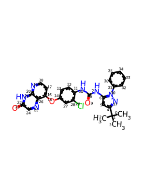 CC(C)(C)c1cc(NC(=O)Nc2ccc(Oc3ccnc4[nH]c(=O)cnc34)cc2Cl)n(-c2ccccc2)n1